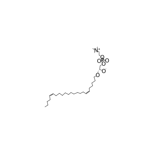 CCCC/C=C\CCCCCCCCCC/C=C\CCCCCOC[C@H](COP(=O)([O-])OCC[N+](C)(C)C)OC